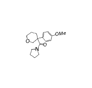 COc1ccc(C2(C(=O)N3CCCC3)CCCOC2)cc1